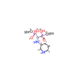 COP(=O)(O)C(Nc1cccnc1)P(=O)(O)OC